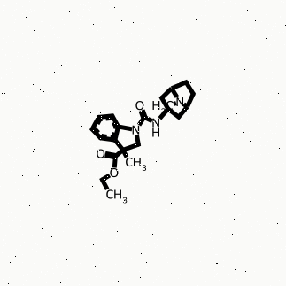 CCOC(=O)C1(C)CN(C(=O)NC2CC3CCC(C2)N3C)c2ccccc21